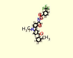 CCn1c2ccc(C(=O)c3ccccc3C)cc2c2c3c(ccc21)/C(=N/OC(=O)c1cccc(C(F)(F)F)c1)CO3